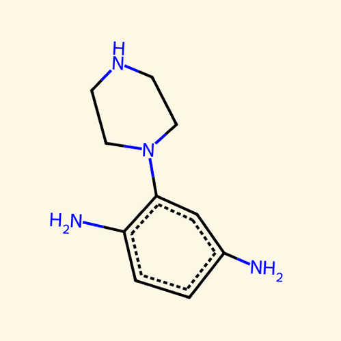 Nc1ccc(N)c(N2CCNCC2)c1